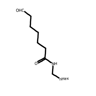 CCCCCCCNC(=O)CCCCCC=O